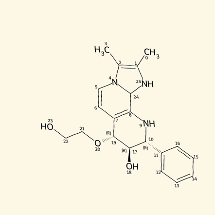 CC1=C(C)N2C=CC3=C(N[C@H](c4ccccc4)[C@@H](O)[C@@H]3OCCO)C2N1